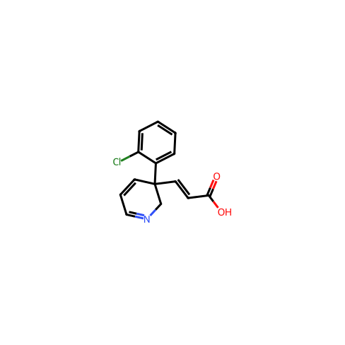 O=C(O)/C=C/C1(c2ccccc2Cl)C=CC=NC1